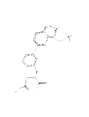 CCC(C)(C)Cc1c(I)[nH]c2ccc(-c3cccc(C[C@H](NC(=O)OC(C)(C)C)C(=O)OC)c3)cc12